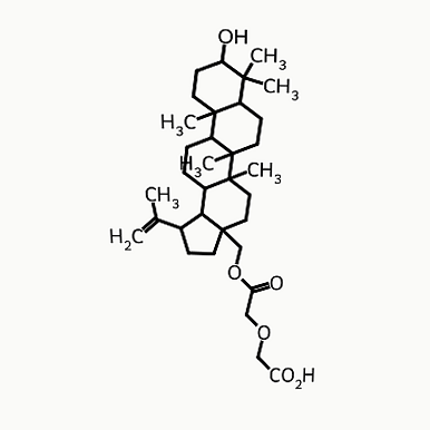 C=C(C)C1CCC2(COC(=O)COCC(=O)O)CCC3(C)C(CCC4C5(C)CCC(O)C(C)(C)C5CCC43C)C12